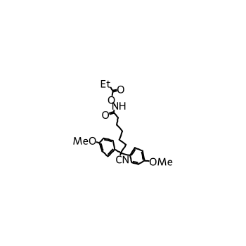 CCC(=O)ONC(=O)CCCCCC(C#N)(c1ccc(OC)cc1)c1ccc(OC)cc1